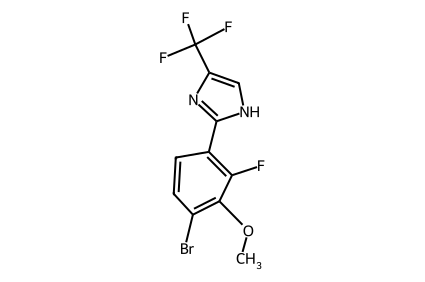 COc1c(Br)ccc(-c2nc(C(F)(F)F)c[nH]2)c1F